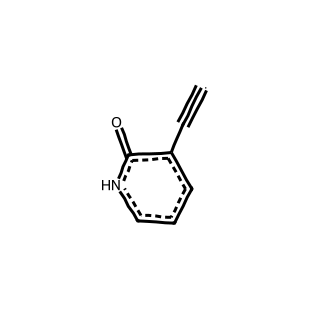 [C]#Cc1ccc[nH]c1=O